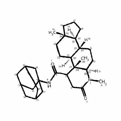 CN1C(=O)CC(C(=O)NC23CC4CC(CC(C4)C2)C3)[C@]2(C)[C@H]3CC[C@]4(C)CCC[C@H]4[C@@H]3CC[C@@H]12